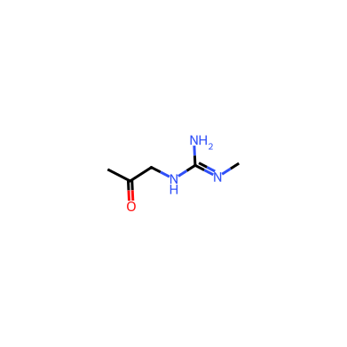 C/N=C(\N)NCC(C)=O